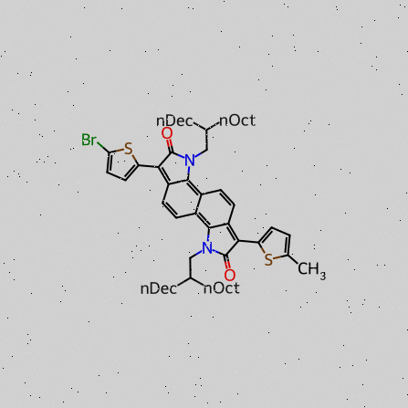 CCCCCCCCCCC(CCCCCCCC)CN1C(=O)C(c2ccc(C)s2)=c2ccc3c4c(ccc3c21)=C(c1ccc(Br)s1)C(=O)N4CC(CCCCCCCC)CCCCCCCCCC